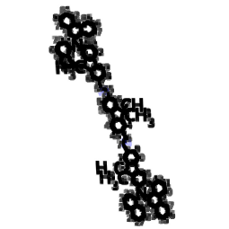 CC1(C)c2cc(/C=C/c3ccc4c(c3)C(C)(C)c3cc(N(c5cccc6ccccc56)c5cc6ccccc6c6ccccc56)ccc3-4)ccc2-c2ccc(/C=C/c3ccc4c(c3)C3(C)c5ccc6cccc(c6c5)N(c5cc6ccccc6c6ccccc56)c5ccc-4c3c5)cc21